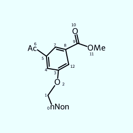 CCCCCCCCCCOc1cc(C(C)=O)cc(C(=O)OC)c1